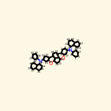 c1ccc(N(c2ccc3c(c2)Oc2ccc4c5c(ccc-3c25)-c2ccc(N(c3ccccc3)c3cccc5ccccc35)cc2O4)c2cccc3ccccc23)cc1